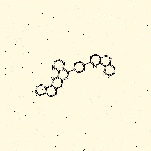 c1ccc2c(c1)ccc1cc3cc(-c4ccc(-c5ccc6ccc7cccnc7c6n5)cc4)c4cccnc4c3nc12